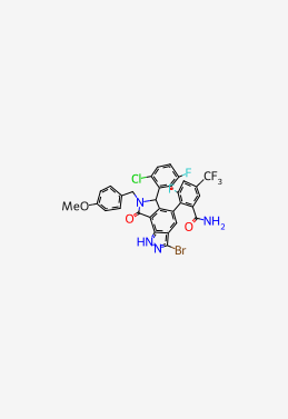 COc1ccc(CN2C(=O)c3c(c(-c4c(F)cc(C(F)(F)F)cc4C(N)=O)cc4c(Br)n[nH]c34)C2c2cc(F)ccc2Cl)cc1